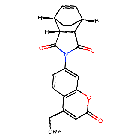 COCc1cc(=O)oc2cc(N3C(=O)C4[C@H]5C=C[C@H](CC5)[C@H]4C3=O)ccc12